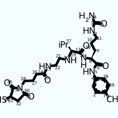 Cc1ccc(NC(=O)[C@H](CCCNC(N)=O)NC(=O)[C@@H](NCCNC(=O)CCCN2C(=O)CC(S)C2=O)C(C)C)cc1